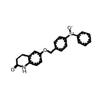 O=C1CCc2cc(OCc3ccc([S+]([O-])c4ccccc4)cc3)ccc2N1